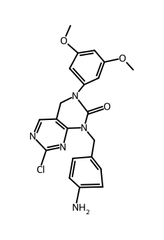 COc1cc(OC)cc(N2Cc3cnc(Cl)nc3N(Cc3ccc(N)cc3)C2=O)c1